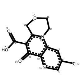 O=C(O)c1c2n(c3cc(Cl)cnc3c1=O)CCOC2